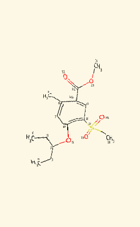 CCC(CC)Oc1cc(C)c(C(=O)OC)cc1S(C)(=O)=O